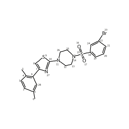 Cc1ccc(C)c(-c2csc(N3CCN(S(=O)(=O)c4cccc(Br)c4)CC3)n2)c1